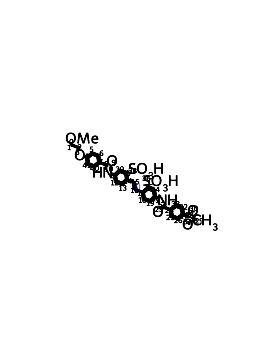 COCCOc1ccc(C(=O)Nc2ccc(/C=C/c3ccc(NC(=O)c4ccc(S(C)(=O)=O)cc4)cc3S(=O)(=O)O)c(S(=O)(=O)O)c2)cc1